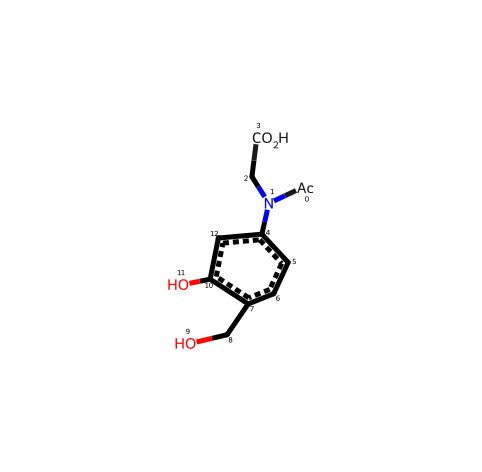 CC(=O)N(CC(=O)O)c1ccc(CO)c(O)c1